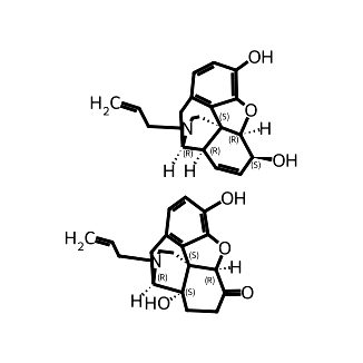 C=CCN1CC[C@]23c4c5ccc(O)c4O[C@H]2C(=O)CC[C@@]3(O)[C@H]1C5.C=CCN1CC[C@]23c4c5ccc(O)c4O[C@H]2[C@@H](O)C=C[C@H]3[C@H]1C5